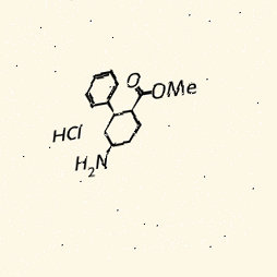 COC(=O)[C@H]1CC[C@@H](N)C[C@H]1c1ccccc1.Cl